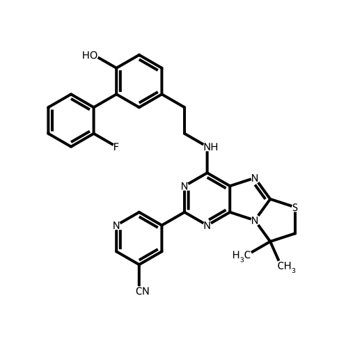 CC1(C)CSc2nc3c(NCCc4ccc(O)c(-c5ccccc5F)c4)nc(-c4cncc(C#N)c4)nc3n21